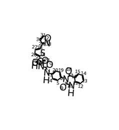 O=C(Nc1ccc(-n2c(=O)[nH]c3ccccc3c2=O)cc1)NS(=O)(=O)c1ccc(-c2ccon2)s1